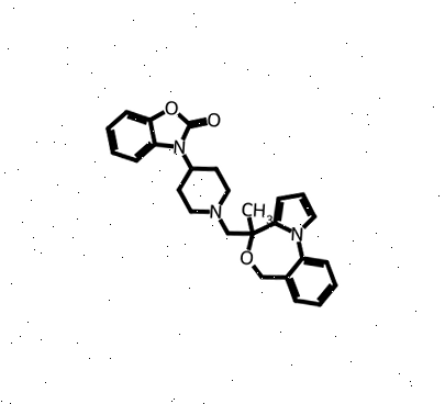 CC1(CN2CCC(n3c(=O)oc4ccccc43)CC2)OCc2ccccc2-n2cccc21